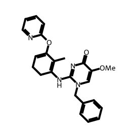 COc1cn(Cc2ccccc2)c(NC2=C(C)C(Oc3ccccn3)=CCC2)nc1=O